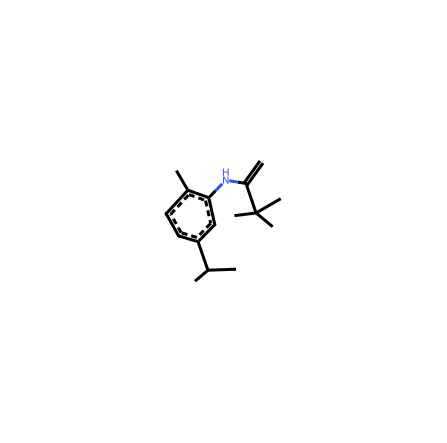 C=C(Nc1cc(C(C)C)ccc1C)C(C)(C)C